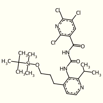 CC(C)c1nccc(CCCO[Si](C)(C)C(C)(C)C)c1NC(=O)NC(=O)c1cc(Cl)c(Cl)nc1Cl